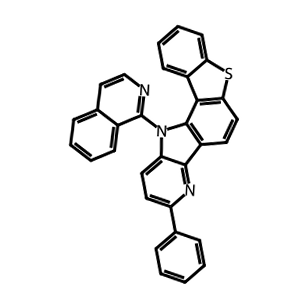 c1ccc(-c2ccc3c(n2)c2ccc4sc5ccccc5c4c2n3-c2nccc3ccccc23)cc1